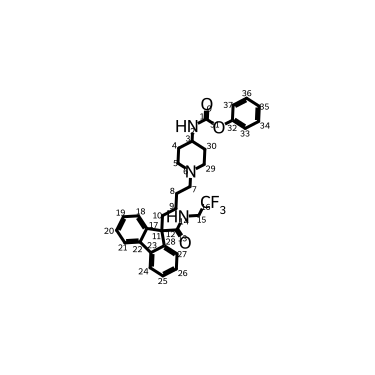 O=C(NC1CCN(CCCCC2(C(=O)NCC(F)(F)F)c3ccccc3-c3ccccc32)CC1)Oc1ccccc1